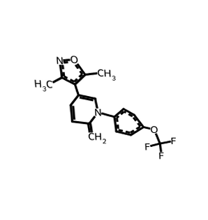 C=C1C=CC(c2c(C)noc2C)=CN1c1ccc(OC(F)(F)F)cc1